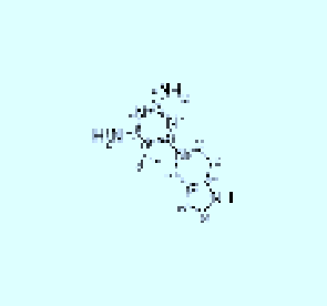 CC(C)c1c(N)nc(N)nc1N1CCC2NCCC2C1